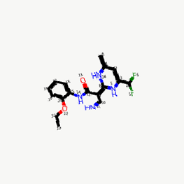 C=C1C=C(C(F)F)N/C(=C(\C=N)C(=O)Nc2ccccc2OCC)N1